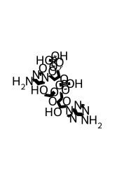 Nc1ccn([C@H]2C[C@H](OP(=O)(O)OCC3OC(n4cnc5c(N)ncnc54)[C@H](O)[C@@H]3OC(=O)CO)[C@@H](COP(=O)(O)O)O2)c(=O)n1